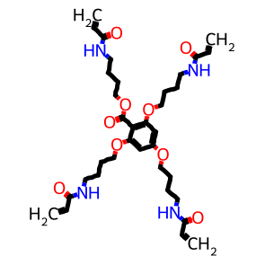 C=CC(=O)NCCCCOC(=O)c1c(OCCCCNC(=O)C=C)cc(OCCCCNC(=O)C=C)cc1OCCCCNC(=O)C=C